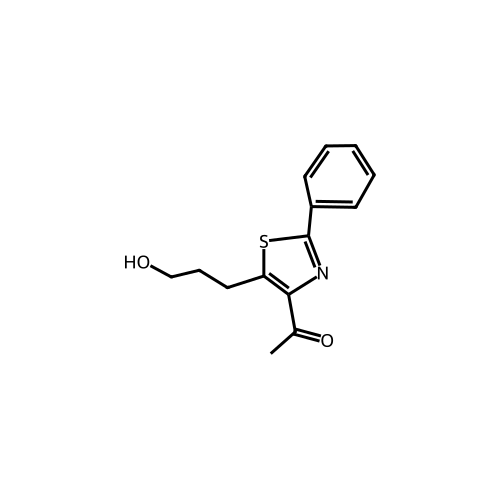 CC(=O)c1nc(-c2ccccc2)sc1CCCO